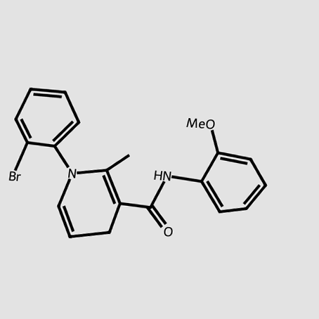 COc1ccccc1NC(=O)C1=C(C)N(c2ccccc2Br)C=CC1